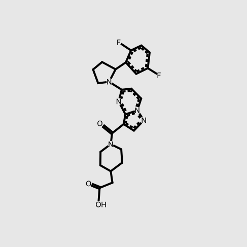 O=C(O)CC1CCN(C(=O)c2cnn3ccc(N4CCCC4c4cc(F)ccc4F)nc23)CC1